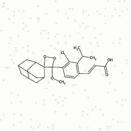 COC1(c2ccc(/C=C/C(=O)O)c(C(C)C)c2Cl)OOC12C1CC3CC(C1)CC2C3